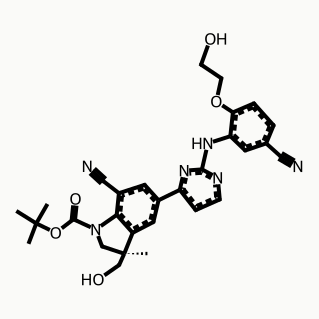 CC(C)(C)OC(=O)N1C[C@](C)(CO)c2cc(-c3ccnc(Nc4cc(C#N)ccc4OCCO)n3)cc(C#N)c21